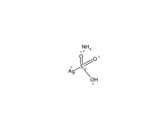 N.O=[S](=O)(O)[Ag]